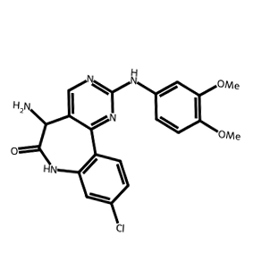 COc1ccc(Nc2ncc3c(n2)-c2ccc(Cl)cc2NC(=O)C3N)cc1OC